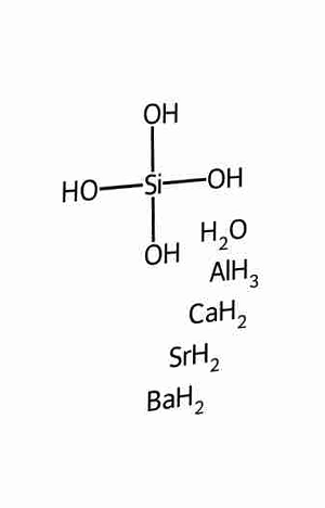 O.O[Si](O)(O)O.[AlH3].[BaH2].[CaH2].[SrH2]